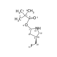 CC(C)(C)C(=O)OC1C[C@H](CF)CN1